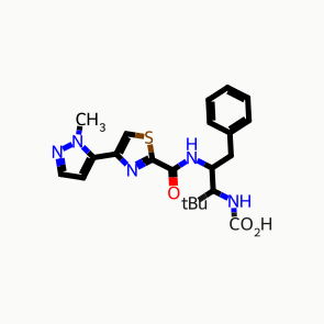 Cn1nccc1-c1csc(C(=O)NC(Cc2ccccc2)C(NC(=O)O)C(C)(C)C)n1